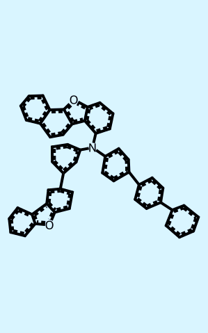 c1ccc(-c2ccc(-c3ccc(N(c4cccc(-c5ccc6oc7ccccc7c6c5)c4)c4cccc5oc6c7ccccc7ccc6c45)cc3)cc2)cc1